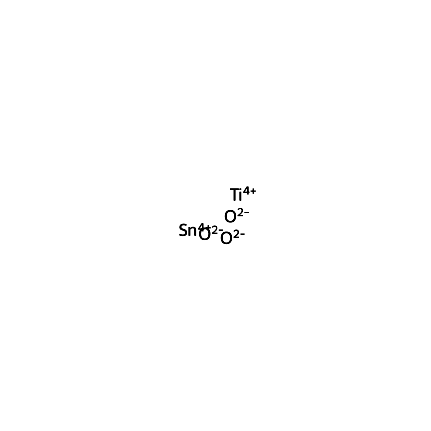 [O-2].[O-2].[O-2].[Sn+4].[Ti+4]